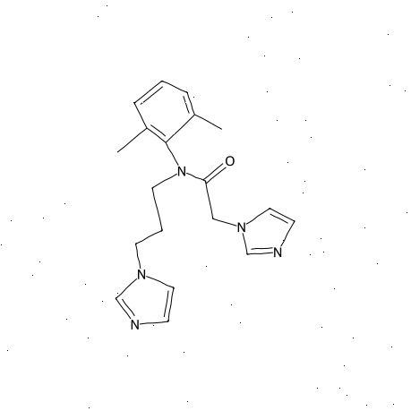 Cc1cccc(C)c1N(CCCn1ccnc1)C(=O)Cn1ccnc1